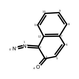 [N-]=[N+]=C1C(=O)C=Cc2[c]cccc21